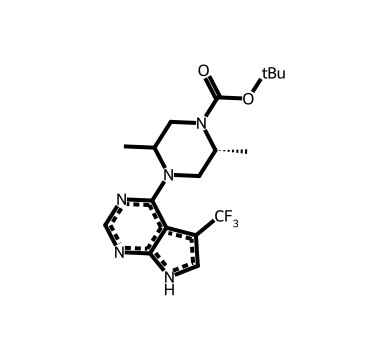 CC1CN(C(=O)OC(C)(C)C)[C@H](C)CN1c1ncnc2[nH]cc(C(F)(F)F)c12